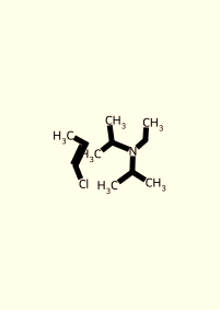 CC=CCl.CCN(C(C)C)C(C)C